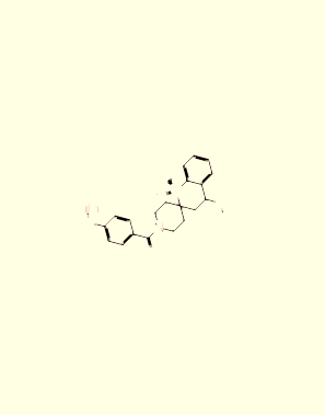 CC(C)Oc1ccc(C(=O)N2CCC3(CC2)CC(OC(C)C)c2ccccc2S3(=O)=O)cc1